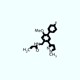 C=CC(=O)NCc1cc(OC)c(-c2ccc(F)cc2)cc1-c1ccn(C)n1